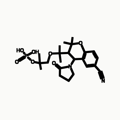 CC(C)(COC(C)(C)C1C(N2CCCC2=O)c2cc(C#N)ccc2OC1(C)C)OP(=O)(O)O